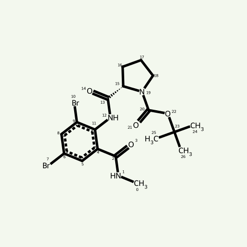 CNC(=O)c1cc(Br)cc(Br)c1NC(=O)[C@@H]1CCCN1C(=O)OC(C)(C)C